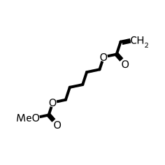 C=CC(=O)OCCCCCOC(=O)OC